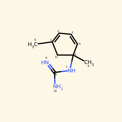 CC1=CC=CC(C)(NC(=N)N)C1